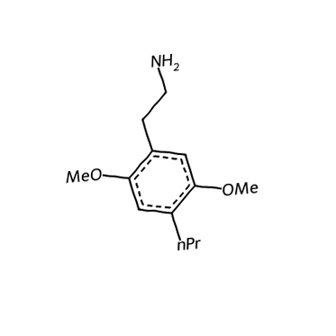 CCCc1cc(OC)c(CCN)cc1OC